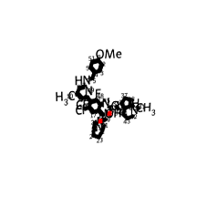 COc1ccc(CNc2cc(C)c(C(F)(F)F)c(-c3c(Cl)cc4c(N5CC6CCC(C5)N6CCO)nc(OC[C@]56CCC[C@H]5N(C)CCC6)nc4c3F)n2)cc1